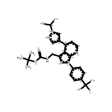 CC(C)(C)OC(=O)NCc1nn(-c2ccc(C(F)(F)F)cc2)c2nccc(-c3cnn(C(F)F)c3)c12